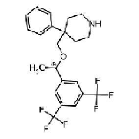 C[C@@H](OCC1(c2ccccc2)CCNCC1)c1cc(C(F)(F)F)cc(C(F)(F)F)c1